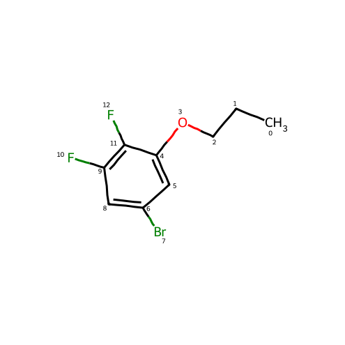 CCCOc1cc(Br)cc(F)c1F